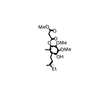 CC/C(C)=C/Cc1c(C)c(OC(=O)CC(=O)OC)c(OC)c(OC)c1O